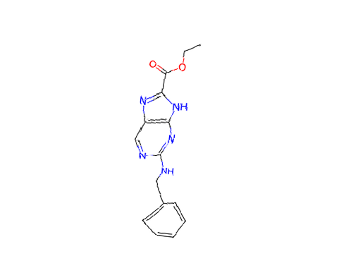 CCOC(=O)c1nc2cnc(NCc3ccccc3)nc2[nH]1